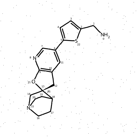 NCc1ccc(-c2cnc3c(c2)C[C@@]2(CN4CCC2CC4)O3)s1